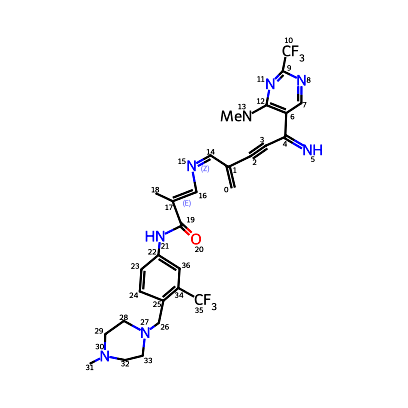 C=C(C#CC(=N)c1cnc(C(F)(F)F)nc1NC)/C=N\C=C(/C)C(=O)Nc1ccc(CN2CCN(C)CC2)c(C(F)(F)F)c1